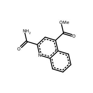 COC(=O)c1cc(C(N)=O)nc2ccccc12